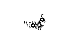 Cc1cc(Nc2nc(=O)c(F)cn2Cc2cc(F)cc(F)c2)c(Cl)cc1F